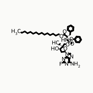 C#C[C@]1(COP(=O)(N[C@@H](Cc2ccccc2)C(=O)OCCCCCCCCCCCCCCC)Oc2ccccc2)O[C@@H](n2cnc3c(N)nc(F)nc32)C[C@@H]1O